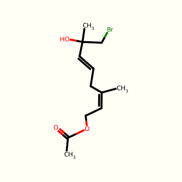 CC(=O)OCC=C(C)CC=CC(C)(O)CBr